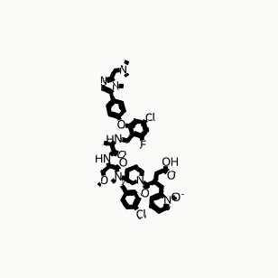 COCC(NC(=O)C(C)NCc1c(F)cc(Cl)cc1Oc1ccc(-c2cnc(CN(C)C)n2C)cc1)C(=O)N(C)[C@@]1(Cc2ccc(Cl)cc2)CCCN(C(=O)C(CC(=O)O)Cc2cccc[n+]2[O-])C1